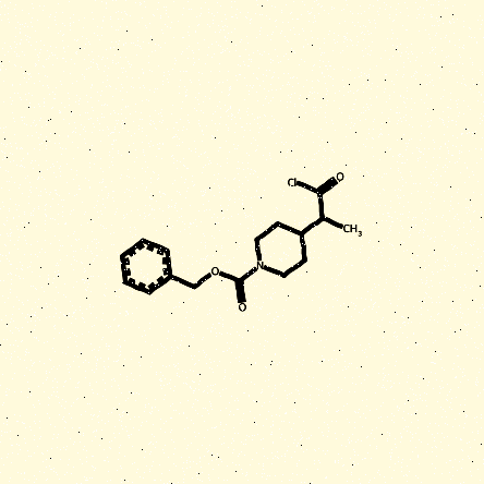 CC(C(=O)Cl)C1CCN(C(=O)OCc2ccccc2)CC1